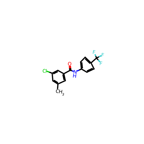 Cc1cc(Cl)cc(C(=O)Nc2ccc(C(F)(F)F)cc2)c1